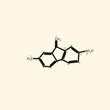 C=C1c2cc(C)ccc2-c2ccc(S(=O)(=O)O)cc21